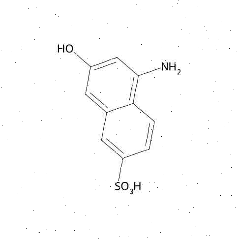 Nc1cc(O)cc2cc(S(=O)(=O)O)ccc12